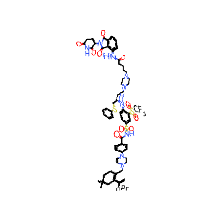 C=C(CCC)C1=C(CN2CCN(c3ccc(C(=O)NS(=O)(=O)c4ccc(N[C@H](CCN5CCN(CCCCC(=O)Nc6cccc7c6C(=O)N(C6CCC(=O)NC6=O)C7=O)CC5)CSc5ccccc5)c(S(=O)(=O)C(F)(F)F)c4)cc3)CC2)CCC(C)(C)C1